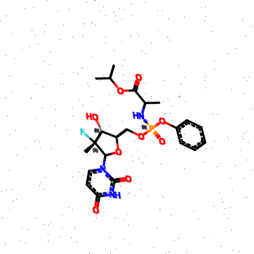 CC(C)OC(=O)C(C)N[P@@](=O)(OCC1OC(n2ccc(=O)[nH]c2=O)[C@](C)(F)[C@@H]1O)Oc1ccccc1